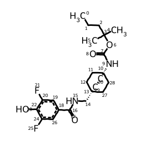 CCCC(C)(C)OC(=O)N[C@]12CC[C@](CNC(=O)c3cc(F)c(O)c(F)c3)(CC1)CC2